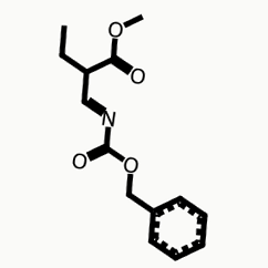 CCC(C=NC(=O)OCc1ccccc1)C(=O)OC